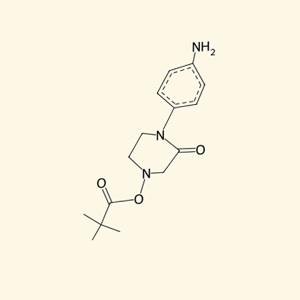 CC(C)(C)C(=O)ON1CCN(c2ccc(N)cc2)C(=O)C1